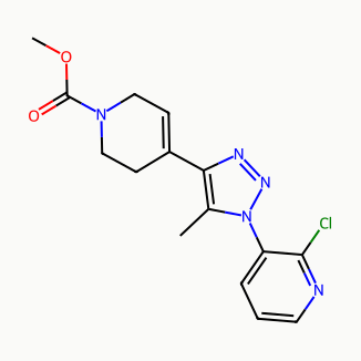 COC(=O)N1CC=C(c2nnn(-c3cccnc3Cl)c2C)CC1